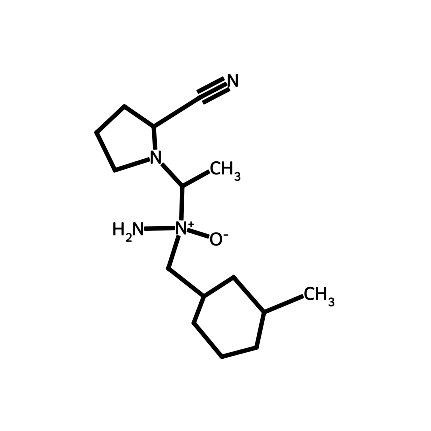 CC1CCCC(C[N+](N)([O-])C(C)N2CCCC2C#N)C1